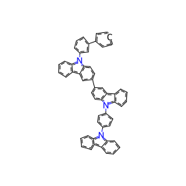 c1ccc(-c2cccc(-n3c4ccccc4c4cc(-c5ccc6c(c5)c5ccccc5n6-c5ccc(-n6c7ccccc7c7ccccc76)cc5)ccc43)c2)cc1